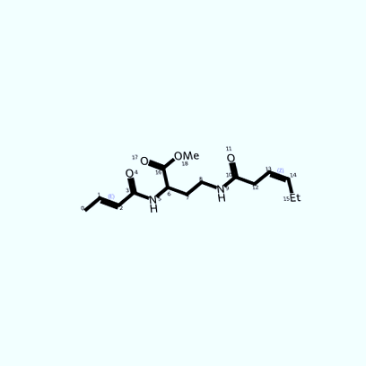 C/C=C/C(=O)NC(CCNC(=O)C/C=C\CC)C(=O)OC